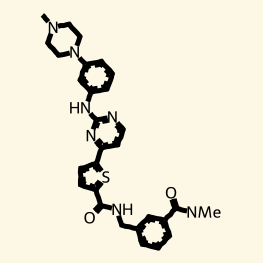 CNC(=O)c1cccc(CNC(=O)c2ccc(-c3ccnc(Nc4cccc(N5CCN(C)CC5)c4)n3)s2)c1